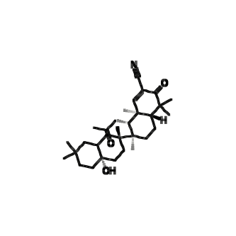 CC(=O)C[C@@H]1[C@@]2(C)C=C(C#N)C(=O)C(C)(C)[C@@H]2CC[C@@]1(C)[C@]1(C)CC[C@@]2(O)CCC(C)(C)CC2C1